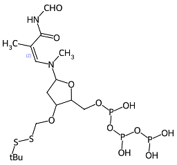 C/C(=C/N(C)C1CC(OCSSC(C)(C)C)C(COP(O)OP(O)OP(O)O)O1)C(=O)NC=O